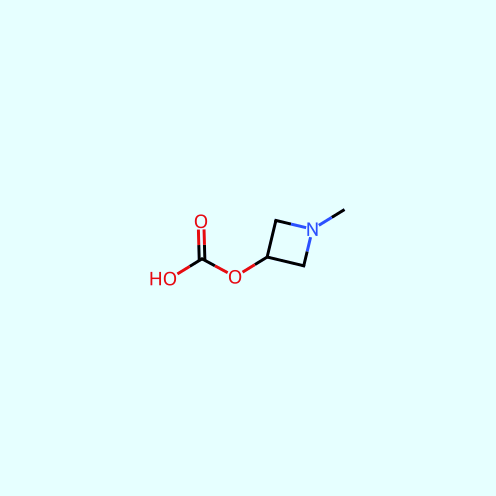 CN1CC(OC(=O)O)C1